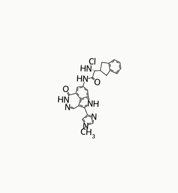 Cn1cnc(-c2[nH]c3cc(NC(=O)[C@H](NCl)C4Cc5ccccc5C4)cc4c3c2C=NNC4=O)c1